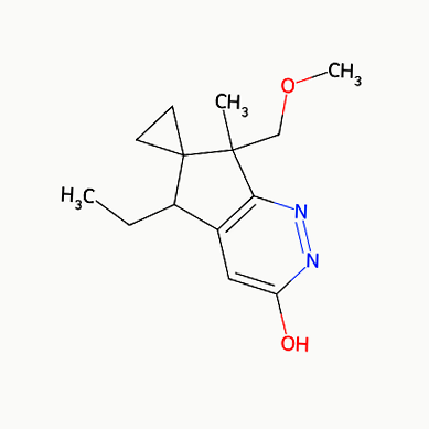 CCC1c2cc(O)nnc2C(C)(COC)C12CC2